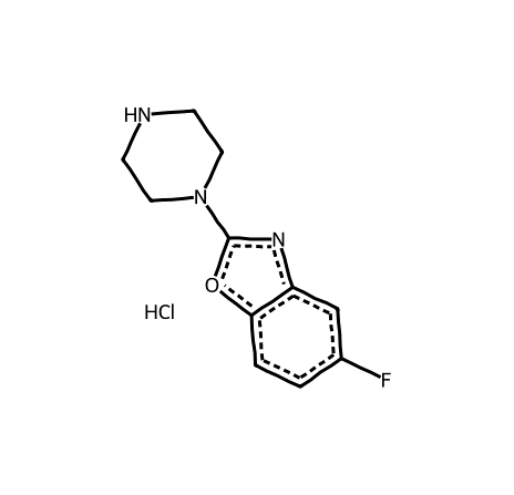 Cl.Fc1ccc2oc(N3CCNCC3)nc2c1